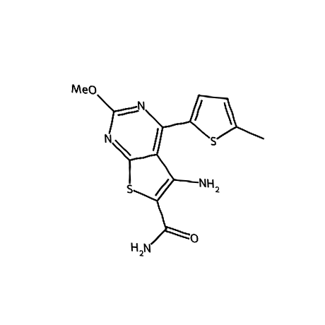 COc1nc(-c2ccc(C)s2)c2c(N)c(C(N)=O)sc2n1